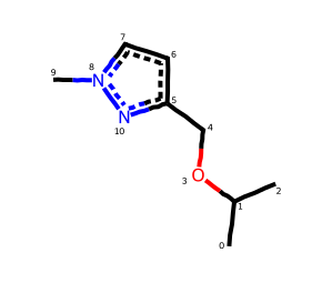 CC(C)OCc1ccn(C)n1